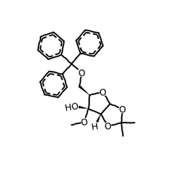 CO[C@]1(O)[C@@H](COC(c2ccccc2)(c2ccccc2)c2ccccc2)OC2OC(C)(C)O[C@@H]21